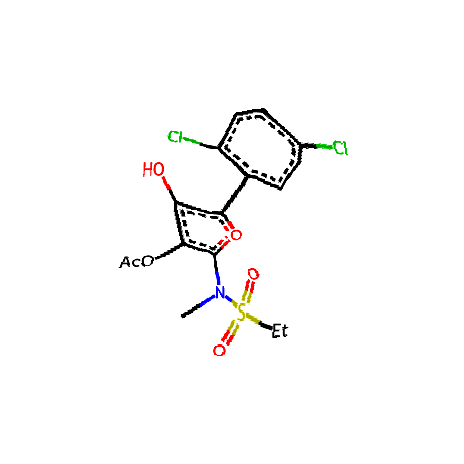 CCS(=O)(=O)N(C)c1oc(-c2cc(Cl)ccc2Cl)c(O)c1OC(C)=O